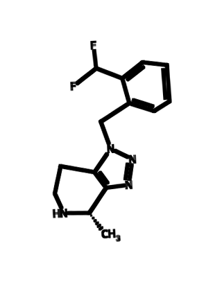 C[C@@H]1NCCc2c1nnn2Cc1ccccc1C(F)F